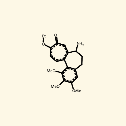 CCOc1ccc2c(cc1=O)C(N)CCc1cc(OC)c(OC)c(OC)c1-2